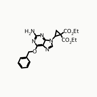 CCOC(=O)C1(C(=O)OCC)CC1n1cnc2c(OCc3ccccc3)nc(N)nc21